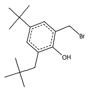 CC(C)(C)Cc1cc(C(C)(C)C)cc(CBr)c1O